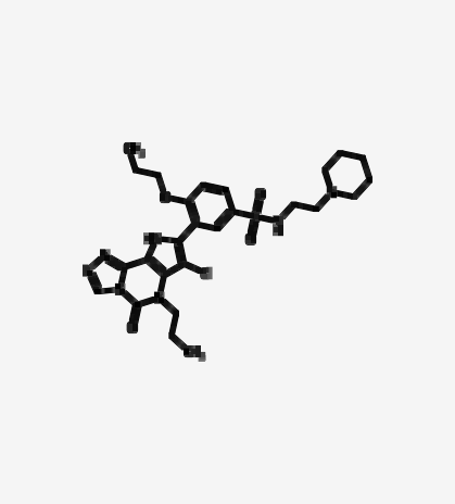 CCCOc1ccc(S(=O)(=O)NCCN2CCCCC2)cc1-c1[nH]c2c(c1Cl)n(CCC)c(=O)n1cnnc21